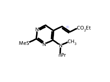 CCCN(C)c1nc(SC)ncc1/C=C/C(=O)OCC